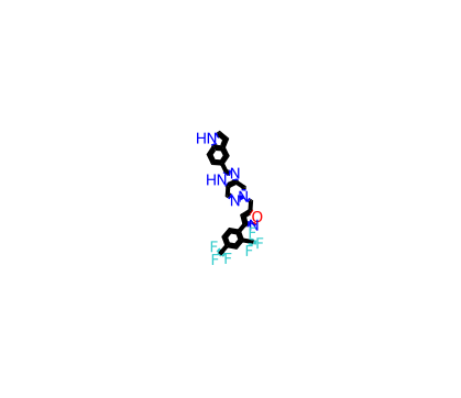 FC(F)(F)c1ccc(-c2cc(CN3Cc4nc(-c5ccc6[nH]ccc6c5)[nH]c4C=N3)on2)c(C(F)(F)F)c1